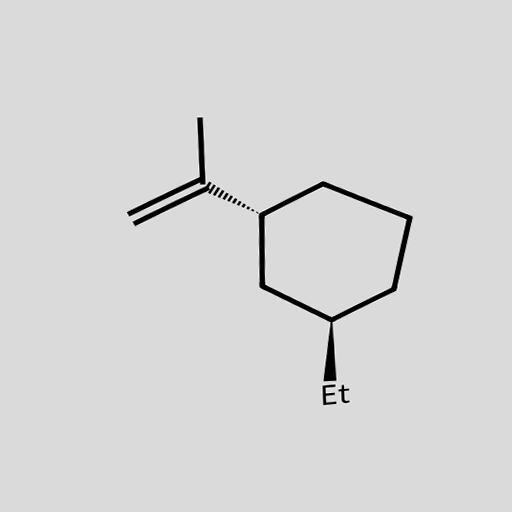 C=C(C)[C@@H]1CCC[C@@H](CC)C1